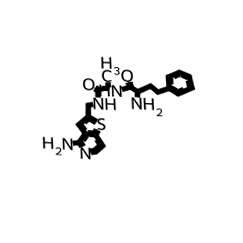 CC(NC(=O)C(N)CCc1ccccc1)C(=O)NCc1cc2c(N)nccc2s1